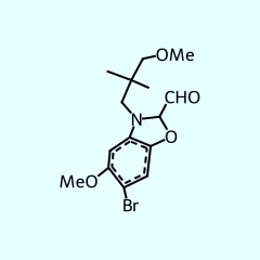 COCC(C)(C)CN1c2cc(OC)c(Br)cc2OC1C=O